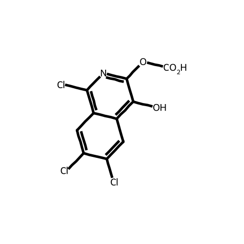 O=C(O)Oc1nc(Cl)c2cc(Cl)c(Cl)cc2c1O